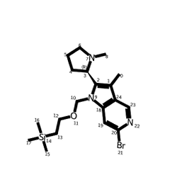 Cc1c([C@H]2CCCN2C)n(COCC[Si](C)(C)C)c2cc(Br)ncc12